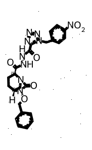 O=C(NNC(=O)[C@@H]1CC[C@@H]2CN1C(=O)N2OCc1ccccc1)c1nnnn1Cc1ccc([N+](=O)[O-])cc1